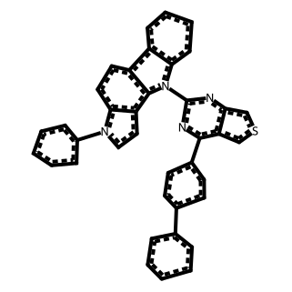 c1ccc(-c2ccc(-c3nc(-n4c5ccccc5c5ccc6c(ccn6-c6ccccc6)c54)nc4cscc34)cc2)cc1